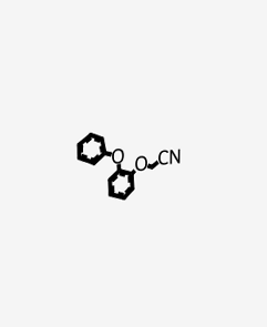 N#CCOc1ccccc1Oc1ccccc1